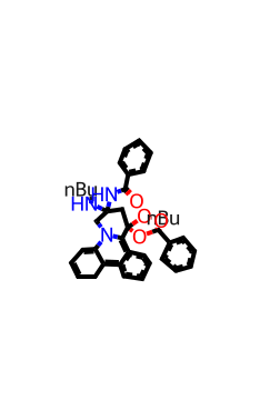 CCCCNC1(NC(=O)c2ccccc2)CN2C3=CC=CCC3=c3ccccc3=C2C(OCCCC)(OC(=O)c2ccccc2)C1